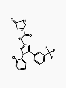 O=C1C[C@@H](C(=O)Nc2cc(-c3cccc(C(F)(F)F)c3)n(-c3ccccc3Cl)n2)CN1